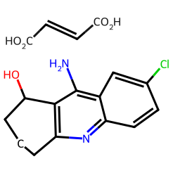 Nc1c2c(nc3ccc(Cl)cc13)CCCC2O.O=C(O)C=CC(=O)O